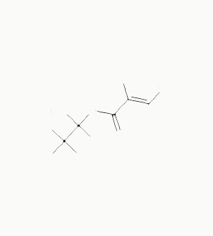 [2H]/C=C(\F)C(=O)OC(C)(C)C(F)(F)F